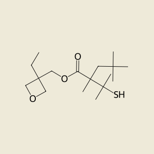 CCC1(COC(=O)C(C)(CC(C)(C)C)C(C)(C)S)COC1